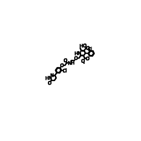 COC(=O)C1=C(COCCNC(=O)COc2ccc(C3=NNC(=O)CC3)cc2Cl)NC(C)=C(C(=O)O)C1c1ccccc1Cl